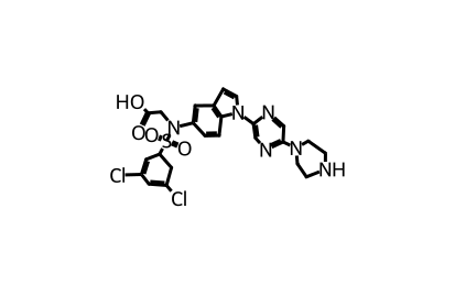 O=C(O)CN(c1ccc2c(ccn2-c2cnc(N3CCNCC3)cn2)c1)S(=O)(=O)C1C=C(Cl)C=C(Cl)C1